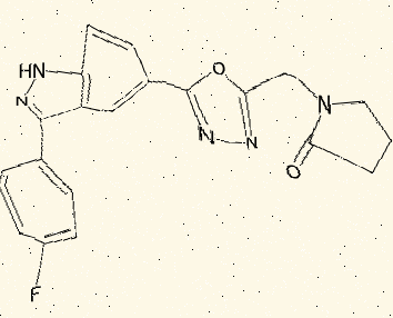 O=C1CCCN1Cc1nnc(-c2ccc3[nH]nc(-c4ccc(F)cc4)c3c2)o1